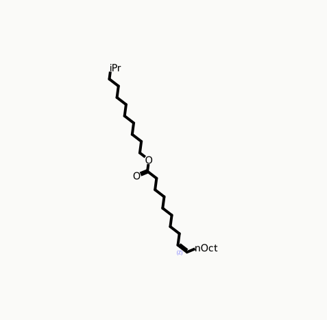 CCCCCCCC/C=C\CCCCCCCC(=O)OCCCCCCCCCC(C)C